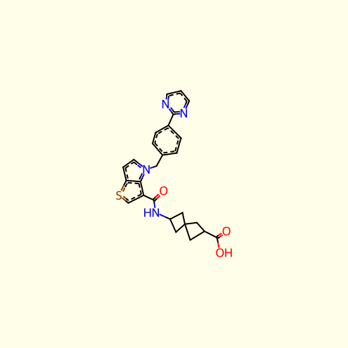 O=C(NC1CC2(C1)CC(C(=O)O)C2)c1csc2ccn(Cc3ccc(-c4ncccn4)cc3)c12